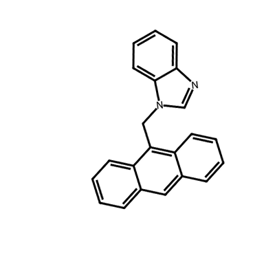 c1ccc2c(Cn3cnc4ccccc43)c3ccccc3cc2c1